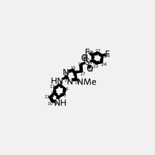 CNc1nc(Nc2ccc3[nH]ccc3c2)ncc1/C=C/S(=O)(=O)c1ccc(F)cc1F